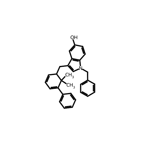 CC1(C)C(c2ccccc2)=CC=CC1Cc1cn(Cc2ccccc2)c2ccc(O)cc12